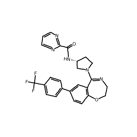 O=C(N[C@@H]1CCN(C2=NCCOc3ccc(-c4ccc(C(F)(F)F)cc4)cc32)C1)c1ncccn1